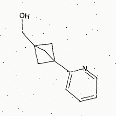 OCC12CC(c3ccccn3)(C1)C2